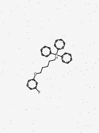 Fc1cccc(OCCCCC[PH](c2ccccc2)(c2ccccc2)c2ccccc2)c1